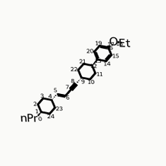 CCC[C@H]1CC[C@H](C=CC#C[C@H]2CC[C@H](c3ccc(OCC)cc3)CC2)CC1